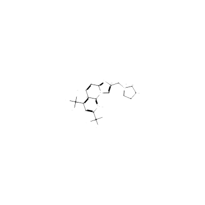 FC(F)(F)c1cc(C(F)(F)F)c2ccc3nc(CN4CCCC4)cn3c2n1